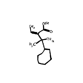 CC=C(C(=O)OC)C(C)(C)C1CCCCC1